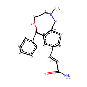 CN1CCOC(c2ccccc2)c2cc(/C=C/C(N)=O)ccc2C1